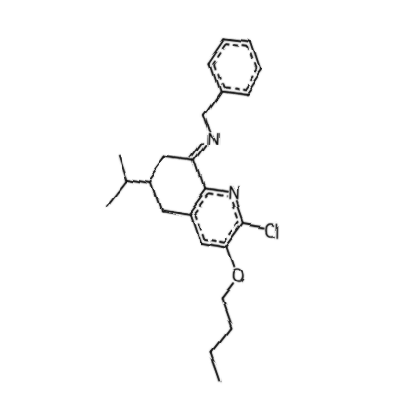 CCCCOc1cc2c(nc1Cl)C(=NCc1ccccc1)CC(C(C)C)C2